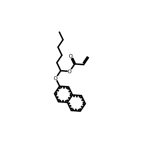 C=CC(=O)OC(CCCCC)Oc1ccc2ccccc2c1